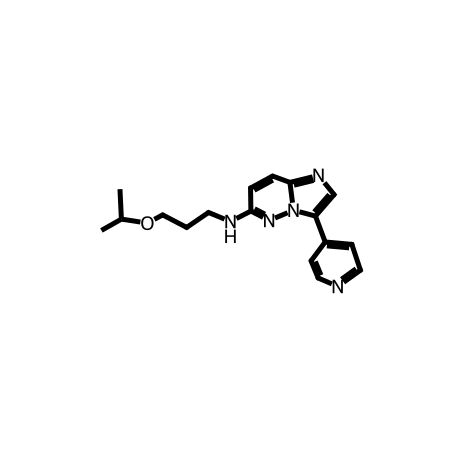 CC(C)OCCCNc1ccc2ncc(-c3ccncc3)n2n1